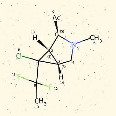 CC(=O)[C@@H]1[C@@H]2[C@H](CN1C)C2(Cl)C(C)(F)F